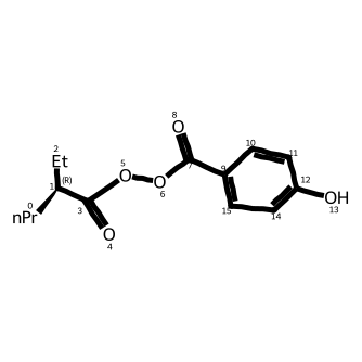 CCC[C@@H](CC)C(=O)OOC(=O)c1ccc(O)cc1